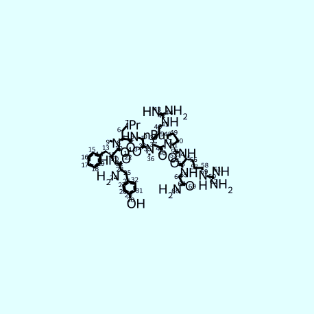 CCCC[C@H](NC(=O)[C@H](CC(C)C)N(C)C(=O)[C@H](Cc1ccccc1)NC(=O)[C@@H](N)Cc1ccc(O)cc1)C(=O)N(C)[C@@H](CCCNC(=N)N)C(=O)N1CCC[C@H]1C(=O)N[C@@H](CCCNC(=N)N)C(=O)NCC(N)=O